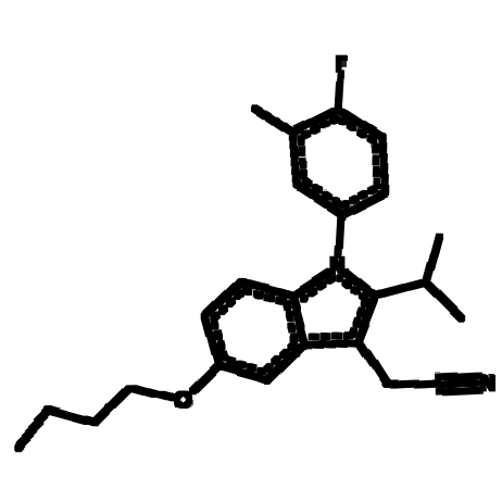 CCCCOc1ccc2c(c1)c(CC#N)c(C(C)C)n2-c1ccc(F)c(C)c1